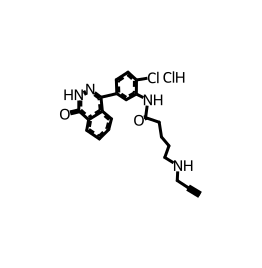 C#CCNCCCCC(=O)Nc1cc(-c2n[nH]c(=O)c3ccccc23)ccc1Cl.Cl